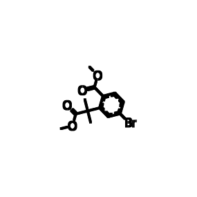 COC(=O)c1ccc(Br)cc1C(C)(C)C(=O)OC